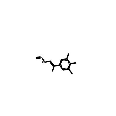 C=NN/C=C(\C)c1cc(C)c(C)c(C)c1